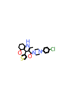 CC1=C(C(=O)N2CCN(c3ccc(Cl)cc3)CC2)C(c2ccsc2)C2=C(CCCC2=O)N1